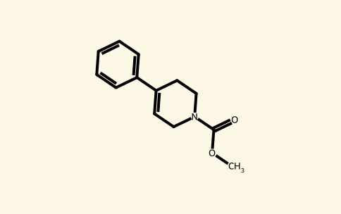 COC(=O)N1CC=C(c2ccccc2)CC1